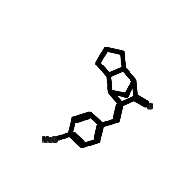 COc1ccc(C=C2C(=O)C3CC2C2CCCC32)cc1